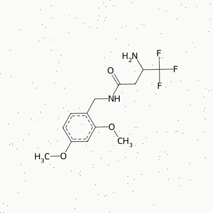 COc1ccc(CNC(=O)CC(N)C(F)(F)F)c(OC)c1